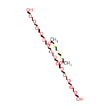 CC(=O)CSCCSCCSCC(C)=O.OCCOCCOCCOCCOCCOCCOCCOCCOCCOCCOCCOCCOCCOCCOCCO